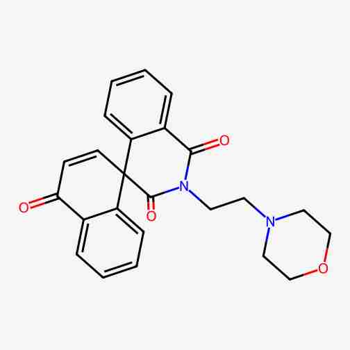 O=C1C=CC2(C(=O)N(CCN3CCOCC3)C(=O)c3ccccc32)c2ccccc21